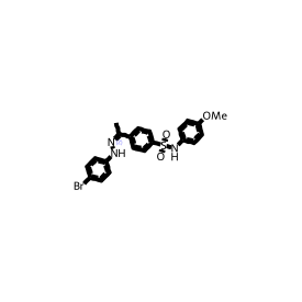 COc1ccc(NS(=O)(=O)c2ccc(/C(C)=N\Nc3ccc(Br)cc3)cc2)cc1